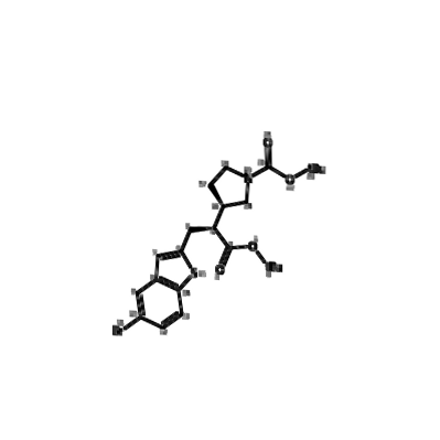 CC(C)(C)OC(=O)[C@@H](Cc1cc2cc(Br)ccc2s1)[C@H]1CCN(C(=O)OC(C)(C)C)C1